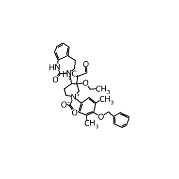 C=C(C=O)C1(OCC)C[N+](C(=O)[O-])(c2cc(C)c(OCc3ccccc3)c(C)c2)CCC1N1CCc2ccccc2NC1=O